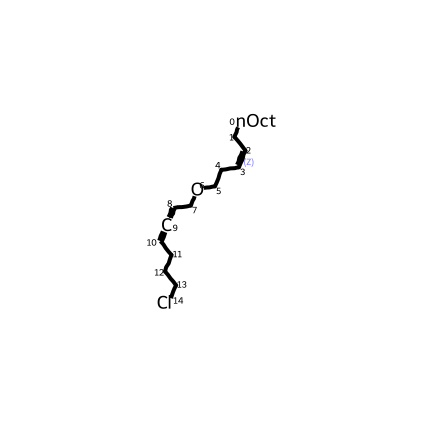 CCCCCCCCC/C=C\CCOCC=C=CCCCCl